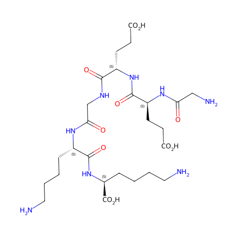 NCCCC[C@H](NC(=O)[C@H](CCCCN)NC(=O)CNC(=O)[C@H](CCC(=O)O)NC(=O)[C@H](CCC(=O)O)NC(=O)CN)C(=O)O